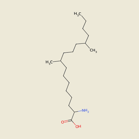 CCCCC(C)CCCC(C)CCCCCCC(N)C(=O)O